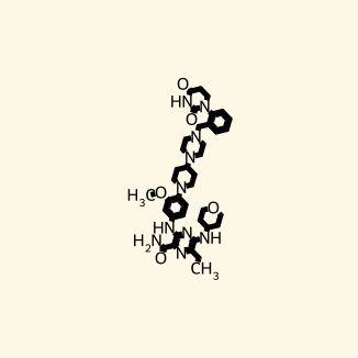 CCc1nc(C(N)=O)c(Nc2ccc(N3CCC(N4CCN(Cc5ccccc5N5CCC(=O)NC5=O)CC4)CC3)c(OC)c2)nc1NC1CCOCC1